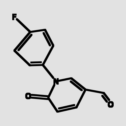 O=Cc1ccc(=O)n(-c2ccc(F)cc2)c1